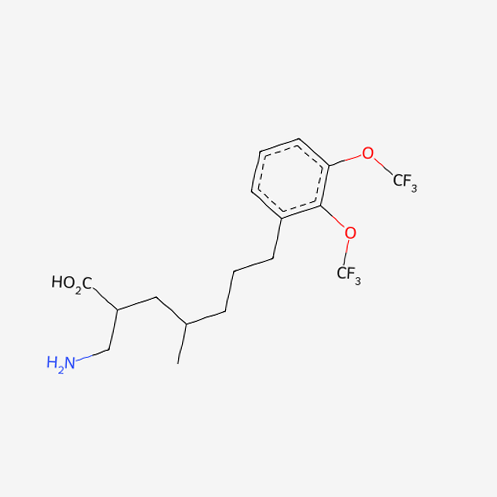 CC(CCCc1cccc(OC(F)(F)F)c1OC(F)(F)F)CC(CN)C(=O)O